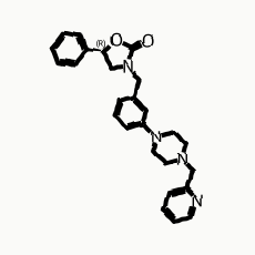 O=C1O[C@H](c2ccccc2)CN1Cc1cccc(N2CCN(Cc3ccccn3)CC2)c1